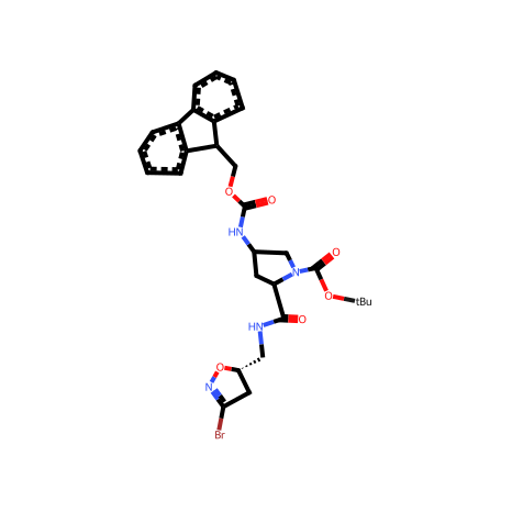 CC(C)(C)OC(=O)N1CC(NC(=O)OCC2c3ccccc3-c3ccccc32)CC1C(=O)NC[C@@H]1CC(Br)=NO1